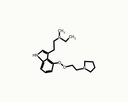 CCN(C)CCc1c[nH]c2cccc(OOCCN3CCCC3)c12